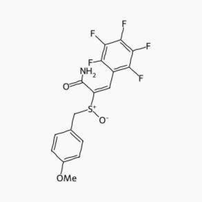 COc1ccc(C[S+]([O-])C(=Cc2c(F)c(F)c(F)c(F)c2F)C(N)=O)cc1